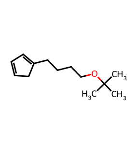 CC(C)(C)OCCCCC1=CC=CC1